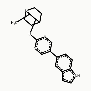 CC1C(Oc2ncc(-c3ccc4[nH]ccc4c3)cn2)C2CCN1CC2